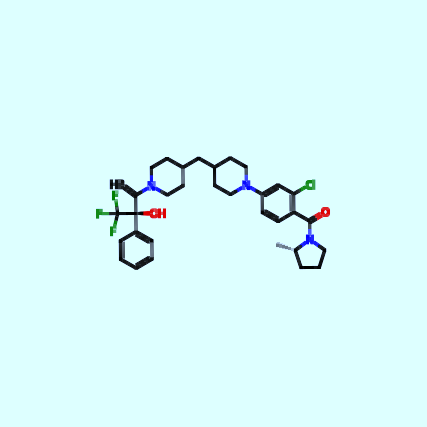 B=C(N1CCC(CC2CCN(c3ccc(C(=O)N4CCC[C@@H]4C)c(Cl)c3)CC2)CC1)[C@](O)(c1ccccc1)C(F)(F)F